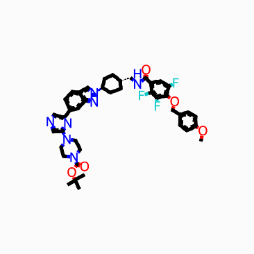 COc1ccc(COc2c(F)cc(C(=O)NC[C@H]3CC[C@H](n4cc5ccc(-c6cncc(N7CCN(C(=O)OC(C)(C)C)CC7)n6)cc5n4)CC3)c(F)c2F)cc1